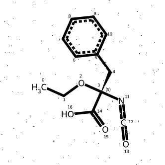 CCO[C@](Cc1ccccc1)(N=C=O)C(=O)O